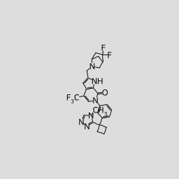 Cn1cnnc1C1(c2cccc(-n3cc(C(F)(F)F)c4cc(CN5CC6CC5CC6(F)F)[nH]c4c3=O)c2)CCC1